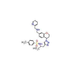 Cc1ccc(S(=O)(=O)NC(Cc2cn(C3CCOc4cc(CNCc5ccccn5)ccc43)nn2)C(=O)O)cc1